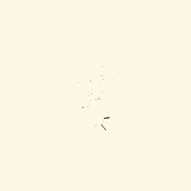 C=C(C)C(=O)OCC(CO[Si](O[Si](C)(C)C)(O[Si](C)(C)C)O[Si](C)(O[Si](C)(C)C)O[Si](C)(C)C)OCCC